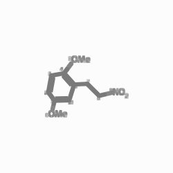 COc1[c]cc(OC)c(CC[N+](=O)[O-])c1